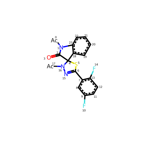 CC(=O)N1C(=O)C2(SC(c3cc(F)ccc3F)=NN2C(C)=O)c2ccccc21